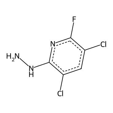 NNc1nc(F)c(Cl)cc1Cl